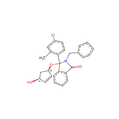 Cc1cc(Cl)ccc1C1(O[C@H]2C=C[C@@H](O)C2)c2ccccc2C(=O)N1Cc1ccccc1